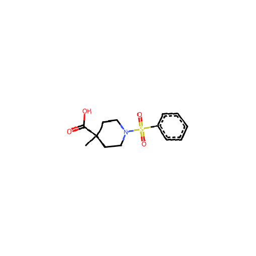 CC1(C(=O)O)CCN(S(=O)(=O)c2ccccc2)CC1